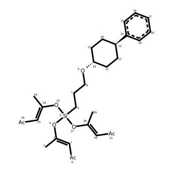 CC(=O)C=C(C)O[Si](CCCO[C@H]1CC[C@H](c2ccccc2)CC1)(OC(C)=CC(C)=O)OC(C)=CC(C)=O